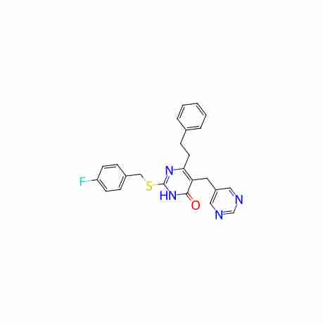 O=c1[nH]c(SCc2ccc(F)cc2)nc(CCc2ccccc2)c1Cc1cncnc1